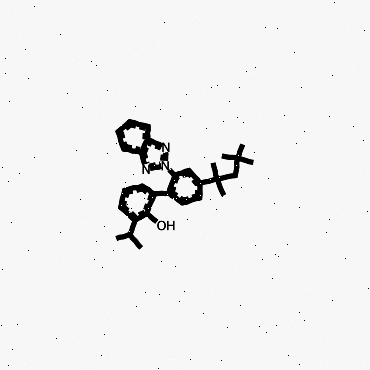 CC(C)c1cccc(-c2ccc(C(C)(C)CC(C)(C)C)cc2-n2nc3ccccc3n2)c1O